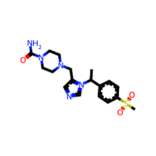 CC(c1ccc(S(C)(=O)=O)cc1)n1cncc1CN1CCN(C(N)=O)CC1